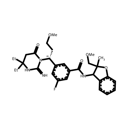 CCC1(CC)CC(=O)N([C@H](CCOC)c2cc(F)cc(C(=O)NC3c4ccccc4OC3(C)COC)c2)C(=N)N1